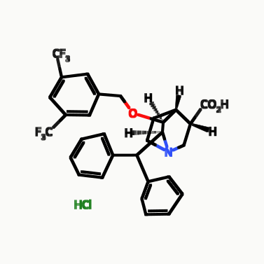 Cl.O=C(O)[C@@H]1CN2CC[C@H]1[C@H](OCc1cc(C(F)(F)F)cc(C(F)(F)F)c1)[C@@H]2C(c1ccccc1)c1ccccc1